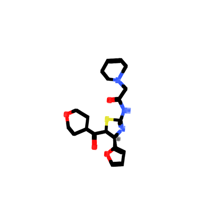 O=C(CN1CC=CCC1)NC1=N[C@@H](c2ccco2)C(C(=O)C2CCOCC2)S1